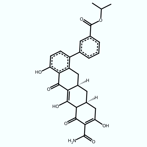 CC(C)OC(=O)c1cccc(-c2ccc(O)c3c2C[C@H]2C[C@H]4CC(O)=C(C(N)=O)C(=O)C4C(O)=C2C3=O)c1